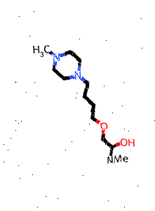 CNC(O)COCCCCN1CCN(C)CC1